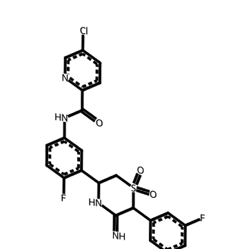 N=C1NC(c2cc(NC(=O)c3ccc(Cl)cn3)ccc2F)CS(=O)(=O)C1c1cccc(F)c1